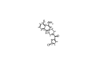 NC1=NC2(CCN(C(=O)c3ccc(Cl)s3)CC2)Nc2cccc(F)c21